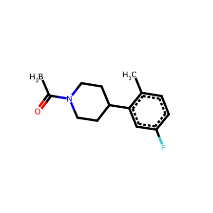 BC(=O)N1CCC(c2cc(F)ccc2C)CC1